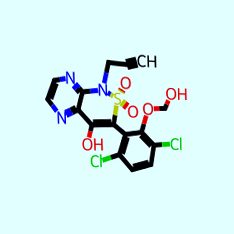 C#CCN1c2nccnc2C(O)=C(c2c(Cl)ccc(Cl)c2OCO)S1(=O)=O